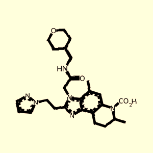 Cc1cc2c(c3nc(CCn4cccn4)n(CC(=O)NCC4CCOCC4)c13)CCC(C)N2C(=O)O